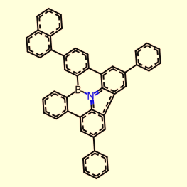 c1ccc(-c2cc3c4c(c2)c2cc(-c5ccccc5)cc5c2n4B(c2ccccc2-3)c2cc(-c3cccc4ccccc34)ccc2-5)cc1